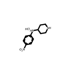 Cl.O=[N+]([O-])c1ccc(NC2CCNCC2)cc1